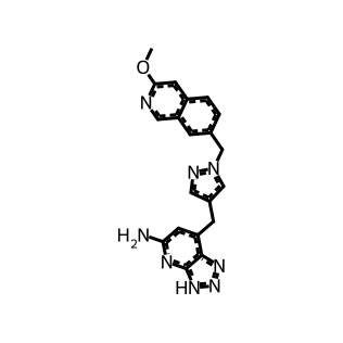 COc1cc2ccc(Cn3cc(Cc4cc(N)nc5[nH]nnc45)cn3)cc2cn1